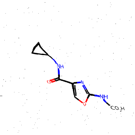 O=C(O)Nc1nc(C(=O)NC2CC2)co1